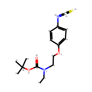 CCN(CCOc1ccc(N=C=S)cc1)C(=O)OC(C)(C)C